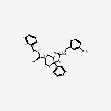 Cc1cccc(CNC(=O)CC2(c3ccccc3)CCN(C(=O)OCc3ccccc3)CC2)c1